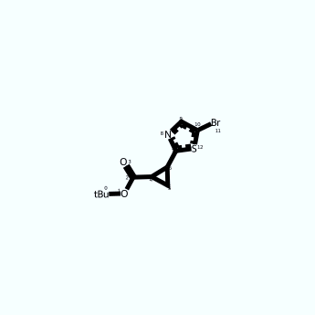 CC(C)(C)OC(=O)C1CC1c1ncc(Br)s1